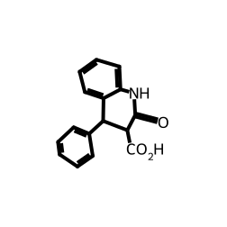 O=C(O)C1C(=O)Nc2ccccc2C1c1ccccc1